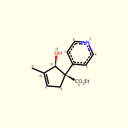 CCOC(=O)[C@@]1(c2ccncc2)CC=C(C)[C@H]1O